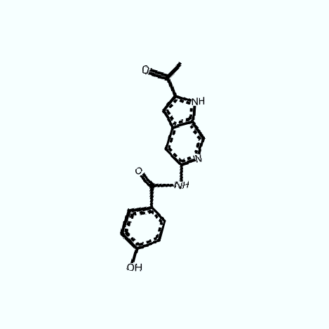 CC(=O)c1cc2cc(NC(=O)c3ccc(O)cc3)ncc2[nH]1